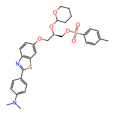 Cc1ccc(S(=O)(=O)OC[C@@H](COc2ccc3nc(-c4ccc(N(C)C)cc4)sc3c2)OC2CCCCO2)cc1